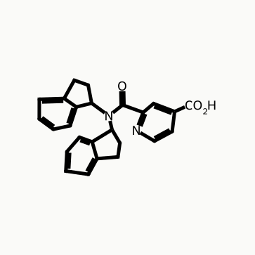 O=C(O)c1ccnc(C(=O)N(C2CCc3ccccc32)C2CCc3ccccc32)c1